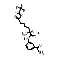 CC(C)(CCCCc1noc(C(F)(F)F)n1)C(=O)Nc1cccc(C(N)=O)c1